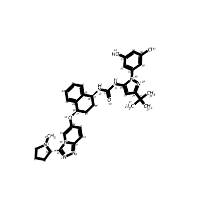 CN1CCC[C@H]1c1nnc2ccc(O[C@@H]3CC[C@H](NC(=O)Nc4cc(C(C)(C)C)nn4-c4cc(O)cc(Cl)c4)c4ccccc43)cn12